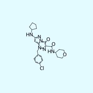 O=C(NC1CCOCC1)c1nn(Cc2ccc(Cl)cc2)c2cc(NC3CCCC3)nn2c1=O